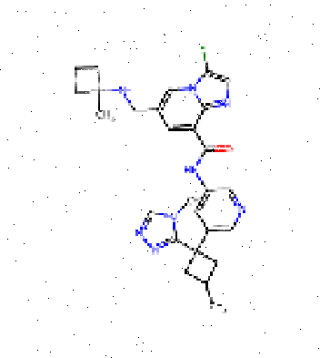 CC1CC(c2cncc(NC(=O)c3cc(CNC4(C)CCC4)cn4c(F)cnc34)c2)(c2nncn2C)C1